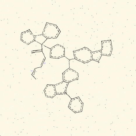 C=C(/C=C\C=C/C)C1(c2ccc(N(c3ccc4c(c3)sc3ccccc34)c3ccc4c(c3)c3ccccc3n4-c3ccccc3)cc2)c2ccccc2-c2ccccc21